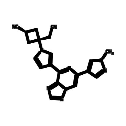 Cn1cc(-c2cn3ncnc3c(-c3ccn([C@]4(CC#N)C[C@@H](C#N)C4)c3)n2)cn1